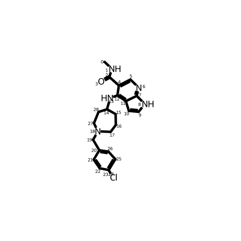 CNC(=O)c1cnc2[nH]ccc2c1NC1CCCN(Cc2ccc(Cl)cc2)CC1